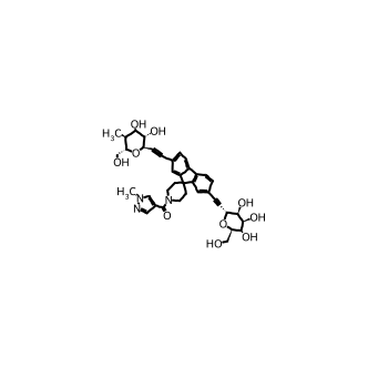 C[C@H]1[C@H](O)[C@H](O)[C@@H](C#Cc2ccc3c(c2)C2(CCN(C(=O)c4cnn(C)c4)CC2)c2cc(C#C[C@H]4O[C@H](CO)[C@@H](O)[C@H](O)[C@@H]4O)ccc2-3)O[C@@H]1CO